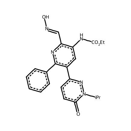 CCOC(=O)Nc1cc(-c2ccc(=O)n(C(C)C)n2)c(-c2ccccc2)nc1C=NO